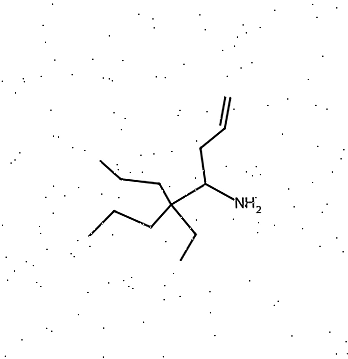 C=CCC(N)C(CC)(CCC)CCC